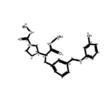 CC(C)(C)OC(=O)[C@@H](Cc1cccc(COc2cccc(O)c2)c1)[C@H]1CCN(C(=O)OC(C)(C)C)C1